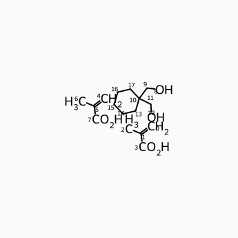 C=C(C)C(=O)O.C=C(C)C(=O)O.OCC1(CO)CCCCC1